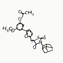 COc1cc(OCC(C)=O)cc(-c2ccc(/C=C3\SC(=S)N(C4C5CC6CC(C5)CC4C6)C3=O)o2)c1